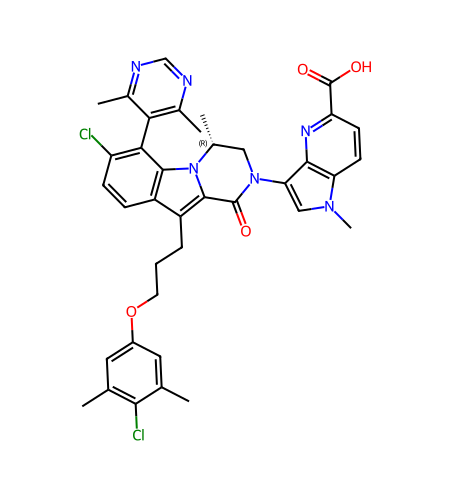 Cc1cc(OCCCc2c3n(c4c(-c5c(C)ncnc5C)c(Cl)ccc24)[C@H](C)CN(c2cn(C)c4ccc(C(=O)O)nc24)C3=O)cc(C)c1Cl